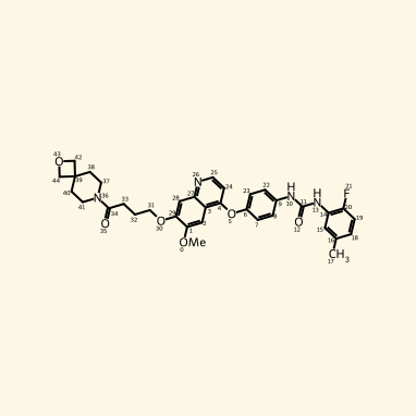 COc1cc2c(Oc3ccc(NC(=O)Nc4cc(C)ccc4F)cc3)ccnc2cc1OCCCC(=O)N1CCC2(CC1)COC2